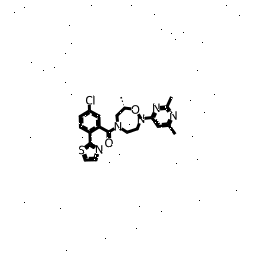 Cc1cc(N2CCN(C(=O)c3cc(Cl)ccc3-c3nccs3)C[C@H](C)O2)nc(C)n1